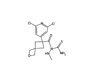 CNN(C(=O)C1(c2cc(Cl)nc(Cl)c2)CC2(COC2)C1)C(N)=S